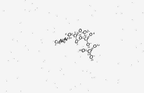 [Al+3].[Al+3].[Cu+2].[O-2].[O]=[Cr]([O-])[O-].[O]=[Cr]([O-])[O-].[O]=[Cr]([O-])[O-]